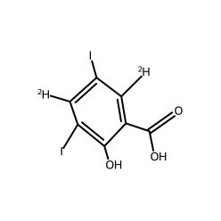 [2H]c1c(I)c([2H])c(C(=O)O)c(O)c1I